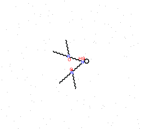 CCCCCCCCCCN(CCCCCCCCCC)C(=O)CCCCCCCN(CCCCCCCC(=O)N(CCCCCCCCCC)CCCCCCCCCC)C1CCCCCC1O